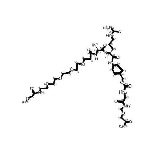 CC(C)OCC(=O)NCCOCCOCCOCCOCCC(=O)N[C@H](C(=O)N[C@@H](CCCNC(N)=O)C(=O)Nc1ccc(COC(=O)NCC(=O)NCOCC(=O)C(C)(C)C)cc1)C(C)C